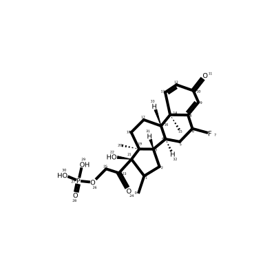 CC1C[C@H]2[C@@H]3CC(F)C4=CC(=O)C=C[C@]4(C)[C@H]3CC[C@]2(C)[C@@]1(O)C(=O)COP(=O)(O)O